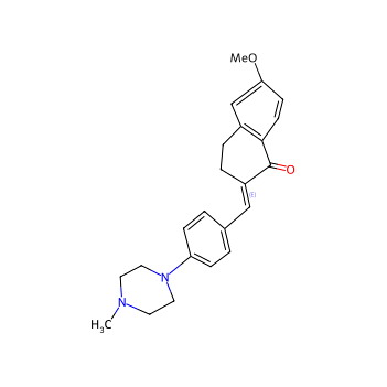 COc1ccc2c(c1)CC/C(=C\c1ccc(N3CCN(C)CC3)cc1)C2=O